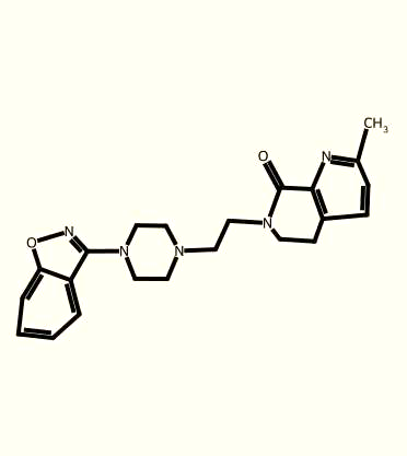 Cc1ccc2c(n1)C(=O)N(CCN1CCN(c3noc4ccccc34)CC1)CC2